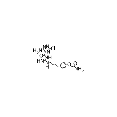 N=C(NCCCCc1ccc(OCC(N)=O)cc1)NC(=O)c1nc(Cl)nnc1N